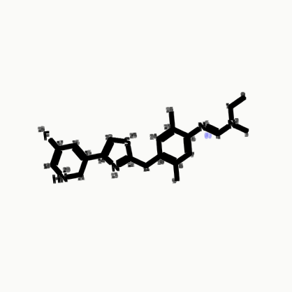 CCN(C)/C=N/c1cc(C)c(Cc2nc(C3=CC(F)=CNC3)cs2)cc1C